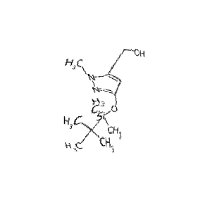 Cn1nc(O[Si](C)(C)C(C)(C)C)cc1CO